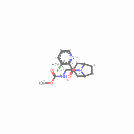 CC(C)(C)OC(=O)N[C@H](C(=O)O)C1CC2CCC(C1)N2C(=O)c1ncccc1F